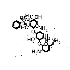 C[C@]1(O)CO[C@H](O[C@@H]2[C@@H](O)[C@H](O[C@H]3OC(CN)=CC[C@H]3N)[C@@H](N)C[C@H]2N)[C@H](O)[C@H]1NS(=O)(=O)c1ccccc1